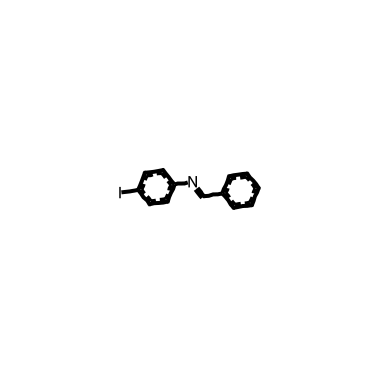 Ic1ccc(/N=C/c2ccccc2)cc1